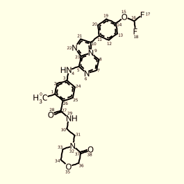 Cc1cc(Nc2nccn3c(-c4ccc(OC(F)F)cc4)cnc23)ccc1C(=O)NCCN1CCOCC1=O